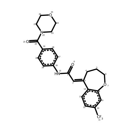 O=C(C=C1CCCOc2cc(C(F)(F)F)ccc21)Nc1ccc(C(=O)N2CCOCC2)cc1